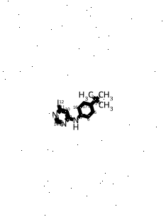 CC(C)(C)C1CCC(Nc2cc(I)ncn2)CC1